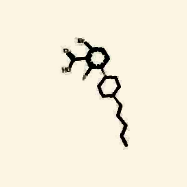 CCCCC[C@H]1CC[C@H](c2ccc(Br)c(C(=O)O)c2F)CC1